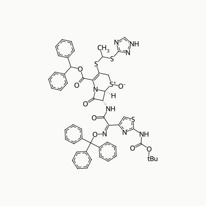 CC(SC1=C(C(=O)OC(c2ccccc2)c2ccccc2)N2C(=O)[C@@H](NC(=O)/C(=N\OC(c3ccccc3)(c3ccccc3)c3ccccc3)c3csc(NC(=O)OC(C)(C)C)n3)[C@@H]2[S+]([O-])C1)Sc1nc[nH]n1